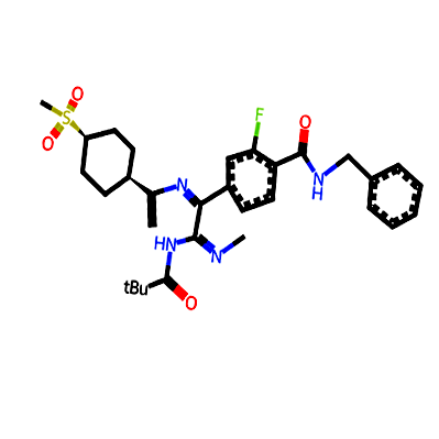 C=C(/N=C(\C(=N/C)NC(=O)C(C)(C)C)c1ccc(C(=O)NCc2ccccc2)c(F)c1)[C@H]1CC[C@@H](S(C)(=O)=O)CC1